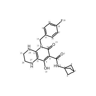 O=C(NC12CC(C1)C2)c1c(O)c2c(n(Cc3ccc(F)cc3)c1=O)NCCN2